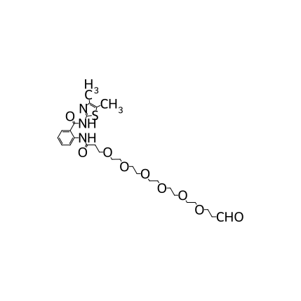 Cc1nc(NC(=O)c2ccccc2NC(=O)CCOCCOCCOCCOCCOCCOCCC=O)sc1C